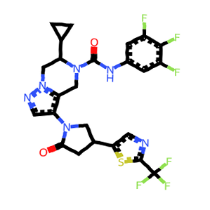 O=C1CC(c2cnc(C(F)(F)F)s2)CN1c1cnn2c1CN(C(=O)Nc1cc(F)c(F)c(F)c1)C(C1CC1)C2